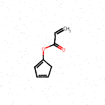 C=CC(=O)OC1=CC=CC1